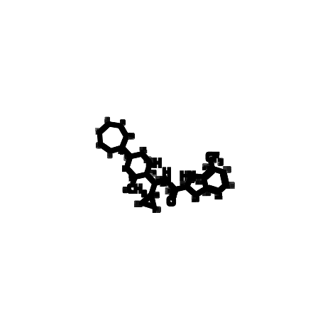 CC1CC(C2CCCCCC2)CNC1C(NC(=O)C1Cc2cccc(C(F)(F)F)c2N1)C1CC1